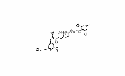 COCCCc1cc(CN(C(=O)C(CN)Cc2ccc(OCCOc3c(Cl)cc(C)cc3Cl)cc2)C2CC2)cc(OC)n1